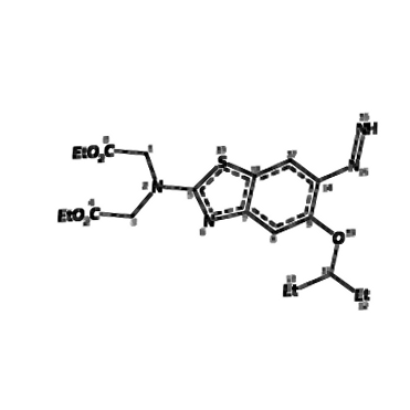 CCOC(=O)CN(CC(=O)OCC)c1nc2cc(OC(CC)CC)c(N=N)cc2s1